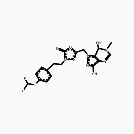 CN1C=Nc2c(C#N)nn(Cc3nn(CCc4ccc(OC(F)F)cc4)c(=O)o3)c2C1O